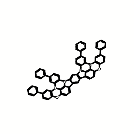 c1ccc(-c2ccc3c(c2)B2c4cc(-c5ccccc5)ccc4-n4c5cc6c(cc5c5ccc(c2c54)O3)c2ccc3c4c2n6-c2ccc(-c5ccccc5)cc2B4c2cc(-c4ccccc4)ccc2O3)cc1